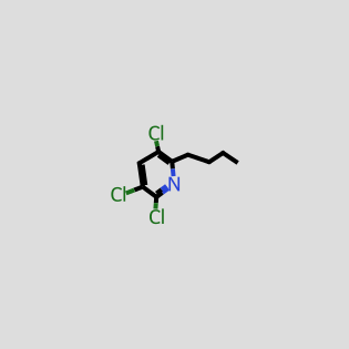 CCCCc1nc(Cl)c(Cl)cc1Cl